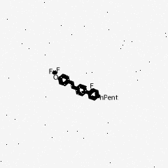 CCCCCc1ccc(-c2ccc(CCc3ccc(OC(F)F)cc3)cc2)c(F)c1